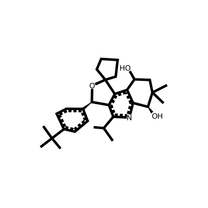 CC(C)c1nc2c(c3c1[C@@H](c1ccc(C(C)(C)C)cc1)OC31CCCC1)C(O)CC(C)(C)[C@H]2O